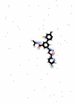 Cc1ccc(-c2cc(C(=O)NC(C)C)cc(C3=NOC(c4ccc(Cl)cn4)C3)c2)c(F)c1